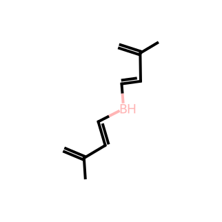 C=C(C)C=CBC=CC(=C)C